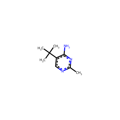 Cc1ncc(C(C)(C)C)c(N)n1